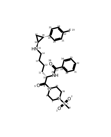 CS(=O)(=O)N1CCN(C(=O)[C@H](CCCCN[C@H]2C[C@@H]2c2ccc(F)cc2)NC(=O)c2ccccc2)CC1